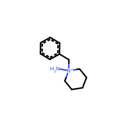 N[N+]1(Cc2ccccc2)CCCCC1